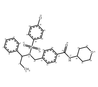 CCC(c1ccccc1)N(Cc1ccc(C(=O)NC2CCOCC2)cc1)S(=O)(=O)c1ccc(Cl)cc1